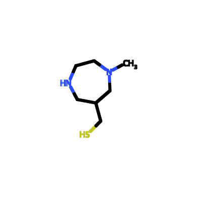 CN1CCNCC(CS)C1